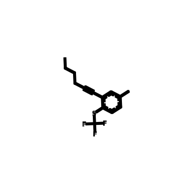 CCCCC#Cc1cc(C)ccc1SC(F)(F)F